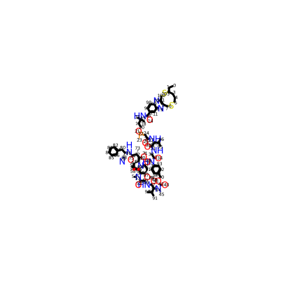 CCC1CCCSCc2nc3cc(C(=O)NC(C)(C)CCOP(C)CC(=O)NC(C(=O)NCC(=O)Nc4ccc(COC(=O)N(C)C(C(=O)NCC(=O)N(C)[C@@H]([C@@H](C)CC)[C@@H](CC(=O)N5CCC[C@H]5[C@H](OC)[C@@H](C)C(=O)N[C@H](C#N)Cc5ccccc5)OC)C(C)C)cc4)C(C)C)ccc3nc2CS1